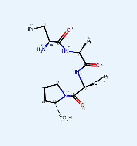 CC(C)C[C@H](NC(=O)[C@@H](NC(=O)[C@@H](N)CC(C)C)C(C)C)C(=O)N1CCC[C@H]1C(=O)O